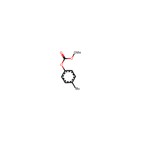 CCC(C)c1ccc(OC(=O)OOC)cc1